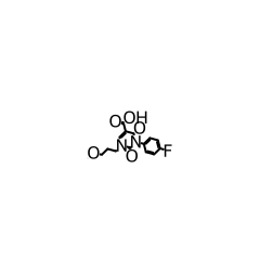 COCCCn1cc(C(=O)O)c(=O)n(-c2ccc(F)cc2)c1=O